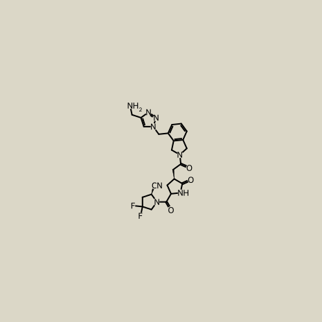 N#C[C@@H]1CC(F)(F)CN1C(=O)C1C[C@@H](CC(=O)N2Cc3cccc(Cn4cc(CN)nn4)c3C2)C(=O)N1